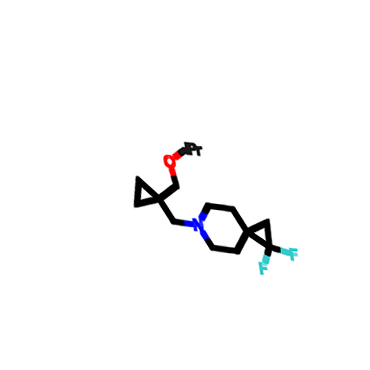 CC(C)OCC1(CN2CCC3(CC2)CC3(F)F)CC1